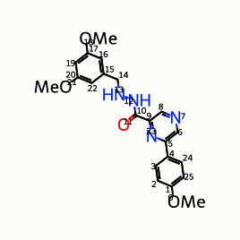 COc1ccc(-c2cncc(C(=O)NNCc3cc(OC)cc(OC)c3)n2)cc1